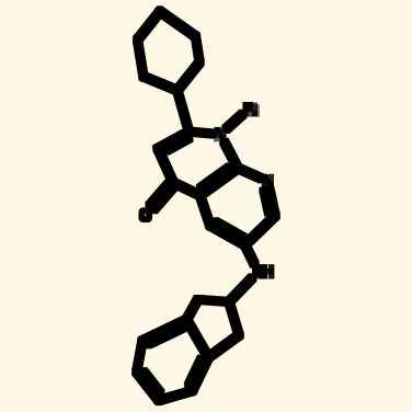 CCn1c(C2CCCCC2)cc(=O)c2cc(NC3Cc4ccccc4C3)cnc21